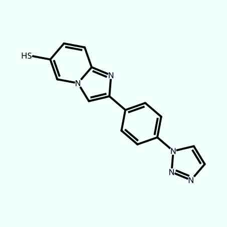 Sc1ccc2nc(-c3ccc(-n4ccnn4)cc3)cn2c1